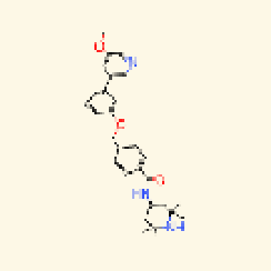 COc1cncc(-c2cccc(OCc3ccc(C(=O)NC4CC(C)(C)NC(C)(C)C4)cc3)c2)c1